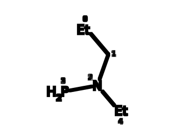 CCCN(P)CC